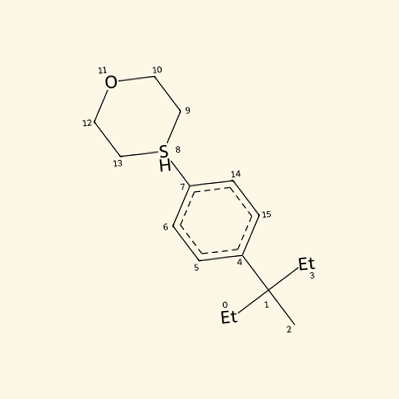 CCC(C)(CC)c1ccc([SH]2CCOCC2)cc1